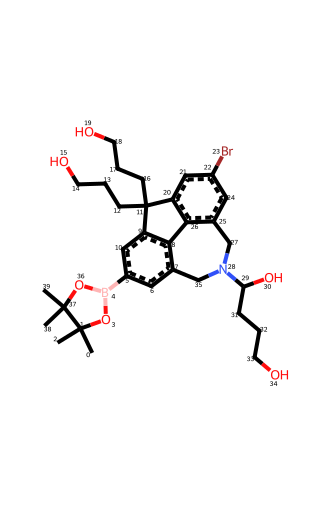 CC1(C)OB(c2cc3c4c(c2)C(CCCO)(CCCO)c2cc(Br)cc(c2-4)CN(C(O)CCCO)C3)OC1(C)C